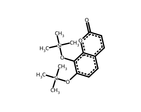 C[Si](C)(C)Oc1ccc2ccc(=O)oc2c1O[Si](C)(C)C